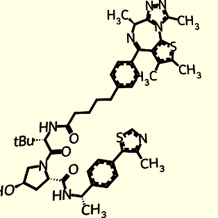 Cc1ncsc1-c1ccc([C@H](C)NC(=O)[C@@H]2C[C@@H](O)CN2C(=O)[C@@H](NC(=O)CCCCc2ccc(C3=N[C@@H](C)c4nnc(C)n4-c4sc(C)c(C)c43)cc2)C(C)(C)C)cc1